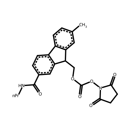 CCCNC(=O)c1ccc2c(c1)C(COC(=O)ON1C(=O)CCC1=O)c1cc(C)ccc1-2